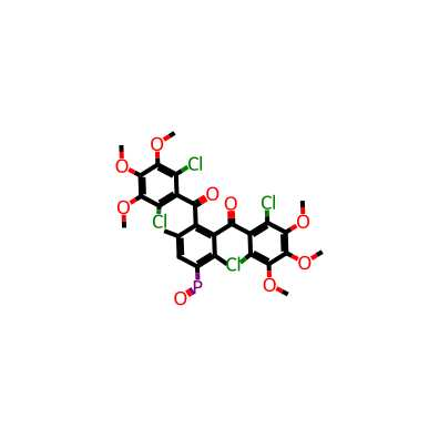 COc1c(Cl)c(C(=O)c2c(C)cc(P=O)c(C)c2C(=O)c2c(Cl)c(OC)c(OC)c(OC)c2Cl)c(Cl)c(OC)c1OC